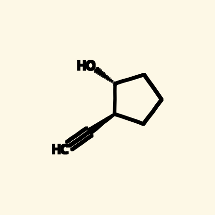 C#C[C@@H]1CCC[C@H]1O